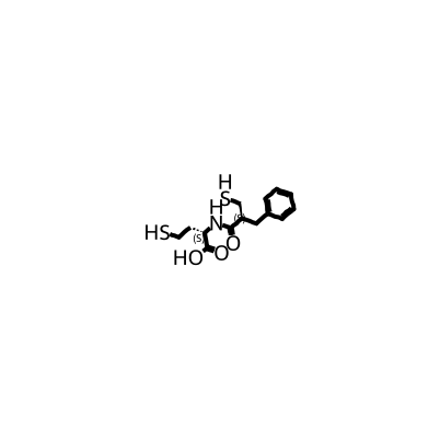 O=C(N[C@@H](CCS)C(=O)O)[C@@H](CS)Cc1ccccc1